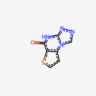 O=c1[nH]c2nncn2c2ccsc12